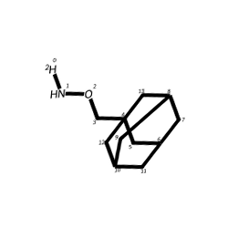 [2H]NOCC12CC3CC(CC(C3)C1)C2